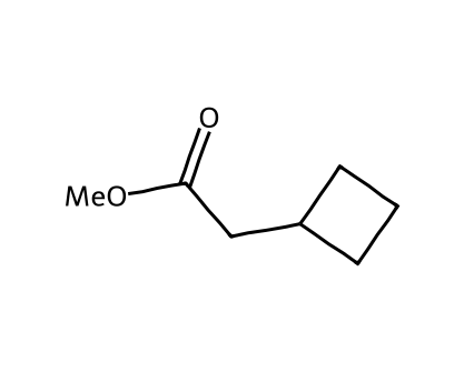 COC(=O)CC1CCC1